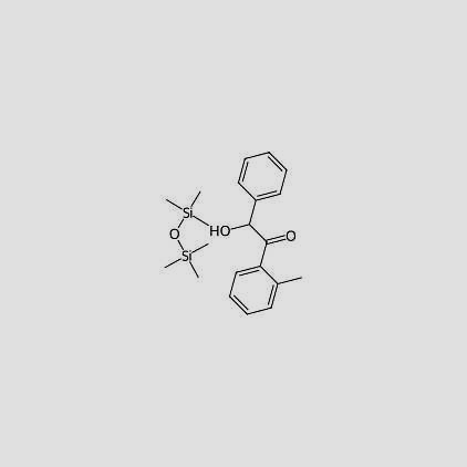 C[Si](C)(C)O[Si](C)(C)C.Cc1ccccc1C(=O)C(O)c1ccccc1